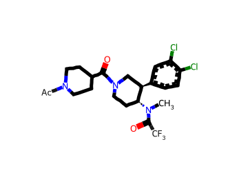 CC(=O)N1CCC(C(=O)N2CC[C@@H](N(C)C(=O)C(F)(F)F)[C@H](c3ccc(Cl)c(Cl)c3)C2)CC1